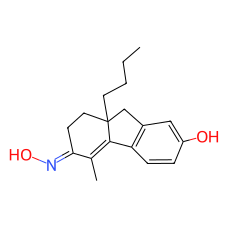 CCCCC12CCC(=NO)C(C)=C1c1ccc(O)cc1C2